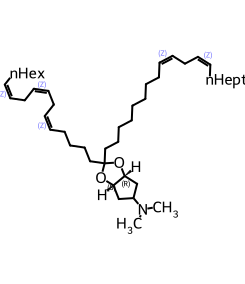 CCCCCC/C=C\C/C=C\C/C=C\CCCCC1(CCCCCCCC/C=C\C/C=C\CCCCCCC)O[C@H]2CC(N(C)C)C[C@H]2O1